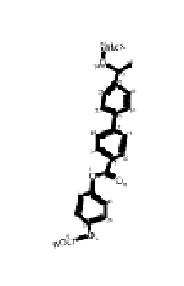 CCCCCCCCOc1ccc(OC(=O)c2ccc(-c3ccc(C(C)OCCCCCC)cc3)cc2)cc1